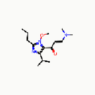 CCCc1nc(C(C)C)c(C(=O)C=CN(C)C)n1OC